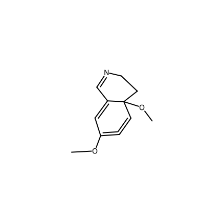 COC1=C=CC2(OC)CCN=CC2=C1